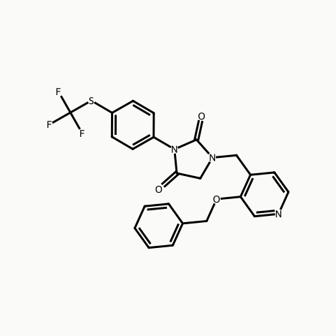 O=C1CN(Cc2ccncc2OCc2ccccc2)C(=O)N1c1ccc(SC(F)(F)F)cc1